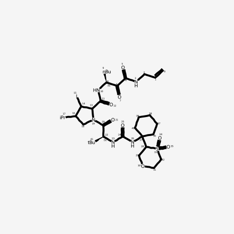 C=CCNC(=O)C(=O)[C@H](CCCC)NC(=O)C1C(I)C(C(C)C)CN1C(=O)[C@@H](NC(=O)NC1(C2COCCS2(=O)=O)CCCCC1)C(C)(C)C